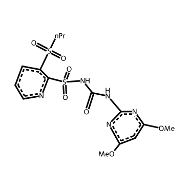 CCCS(=O)(=O)c1cccnc1S(=O)(=O)NC(=O)Nc1nc(OC)cc(OC)n1